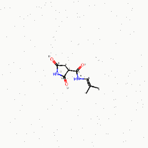 CC(C)=CNC(=O)C1CC(=O)NC1=O